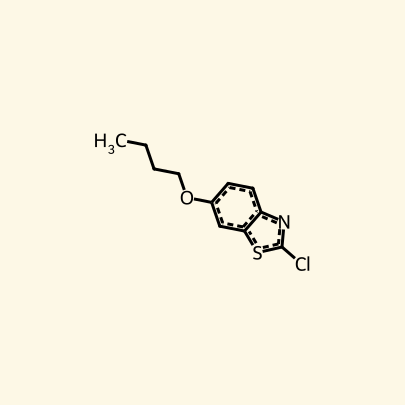 CCCCOc1ccc2nc(Cl)sc2c1